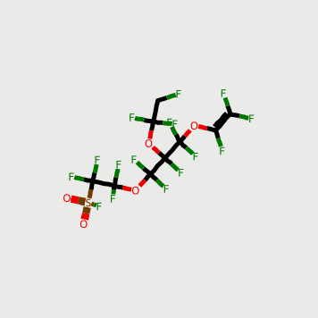 O=S(=O)(F)C(F)(F)C(F)(F)OC(F)(F)C(F)(OC(F)(F)CF)C(F)(F)OC(F)=C(F)F